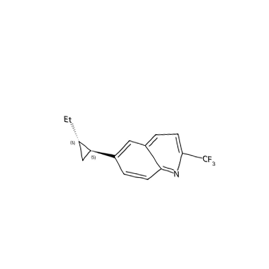 CC[C@H]1C[C@@H]1c1ccc2nc(C(F)(F)F)ccc2c1